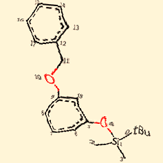 CC(C)(C)[Si](C)(C)Oc1cccc(OCc2ccccc2)c1